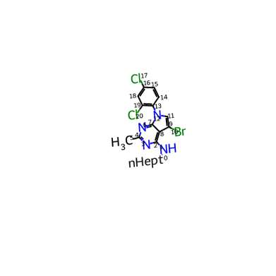 CCCCCCCNc1nc(C)nc2c1c(Br)cn2-c1ccc(Cl)cc1Cl